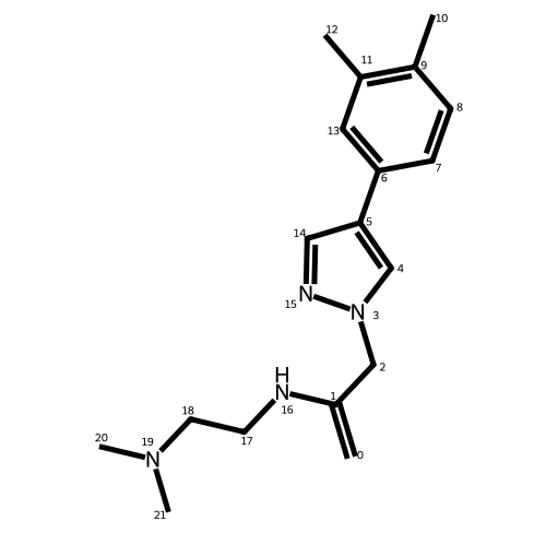 C=C(Cn1cc(-c2ccc(C)c(C)c2)cn1)NCCN(C)C